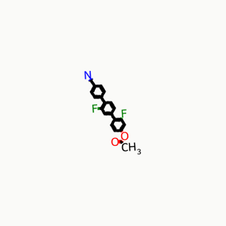 CC(=O)Oc1ccc(-c2ccc(-c3ccc(C#N)cc3)c(F)c2)c(F)c1